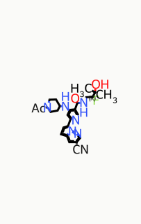 CC(=O)N1CCC(Nc2cc(-c3ccc4cc(C#N)cnn34)ncc2C(=O)NC[C@@H](F)C(C)(C)O)CC1